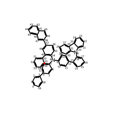 c1ccc(-c2ccc(N(c3ccc(-c4ccccc4-n4c5ccccc5c5ccccc54)cc3)c3ccc(-c4ccc5ccccc5c4)cc3-c3ccccc3)cc2)cc1